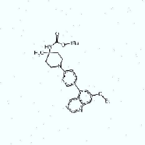 CCOc1cc(-c2ccc(N3CCC(C)(NC(=O)OC(C)(C)C)CC3)nc2)c2cncnc2c1